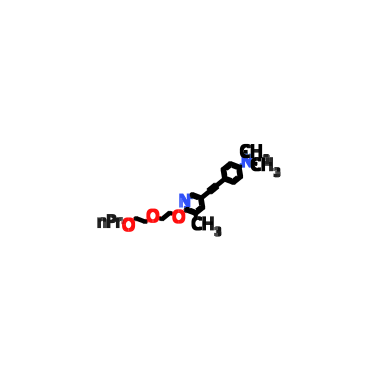 CCCOCCOCCOc1ncc(C#Cc2ccc(N(C)C)cc2)cc1C